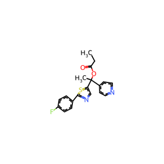 CCC(=O)OC(C)(c1ccncc1)c1cnc(-c2ccc(F)cc2)s1